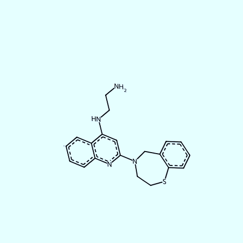 NCCNc1cc(N2CCSc3ccccc3C2)nc2cc[c]cc12